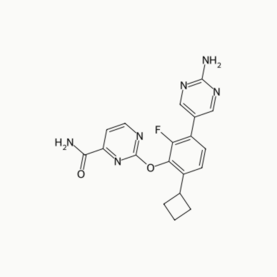 NC(=O)c1ccnc(Oc2c(C3CCC3)ccc(-c3cnc(N)nc3)c2F)n1